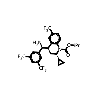 CC(C)OC(=O)N1c2ccc(C(F)(F)F)cc2[C@H]([C@H](N)c2cc(C(F)(F)F)cc(C(F)(F)F)c2)C[C@H]1C1CC1